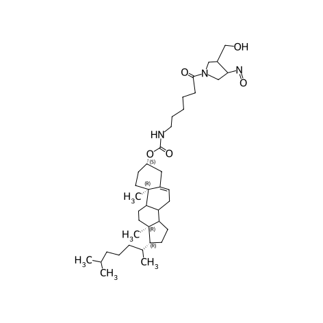 CC(C)CCCC(C)[C@H]1CCC2C3CC=C4C[C@@H](OC(=O)NCCCCCC(=O)N5CC(CO)C(N=O)C5)CC[C@]4(C)C3CC[C@@]21C